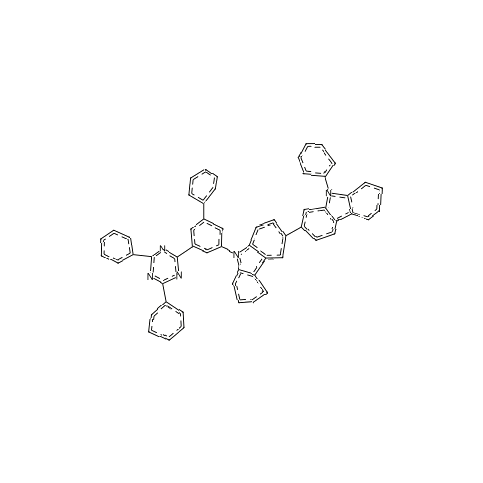 c1ccc(-c2cc(-c3nc(-c4ccccc4)nc(-c4ccccc4)n3)cc(-n3c4ccccc4c4cc(-c5ccc6c7ccccc7n(-c7ccccc7)c6c5)ccc43)c2)cc1